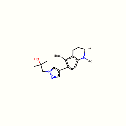 CC(=O)N1c2ccc(-c3cnn(CC(C)(C)O)c3)c(OCC(C)C)c2CC[C@@H]1C